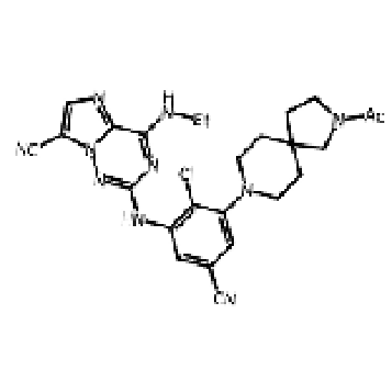 CCNc1nc(Nc2cc(C#N)cc(N3CCC4(CCN(C(C)=O)C4)CC3)c2Cl)nn2c(C#N)cnc12